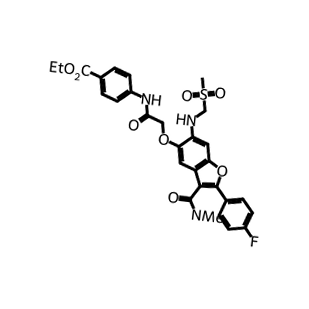 CCOC(=O)c1ccc(NC(=O)COc2cc3c(C(=O)NC)c(-c4ccc(F)cc4)oc3cc2NCS(C)(=O)=O)cc1